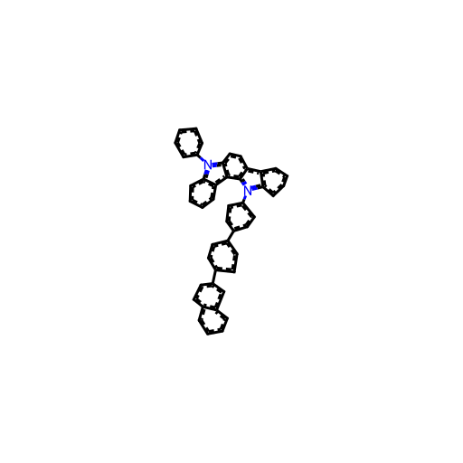 c1ccc(-n2c3ccccc3c3c2ccc2c4ccccc4n(-c4ccc(-c5ccc(-c6ccc7ccccc7c6)cc5)cc4)c23)cc1